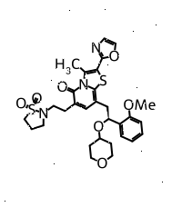 COc1ccccc1[C@H](Cc1cc(CCN2CCCS2(=O)=O)c(=O)n2c(C)c(-c3ncco3)sc12)OC1CCOCC1